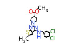 CCOC(=O)C1CCN(c2nc(NCc3ccc(Cl)c(Cl)c3)c3cc(C)sc3n2)CC1